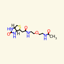 CC(=O)NCCOCCNC(=O)CC1SC[C@@H]2NC(=O)N[C@H]12